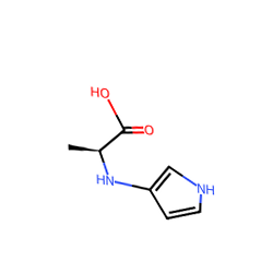 C[C@H](Nc1cc[nH]c1)C(=O)O